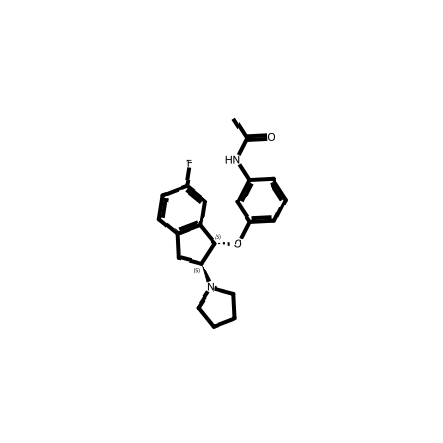 CC(=O)Nc1cccc(O[C@H]2c3cc(F)ccc3C[C@@H]2N2CCCC2)c1